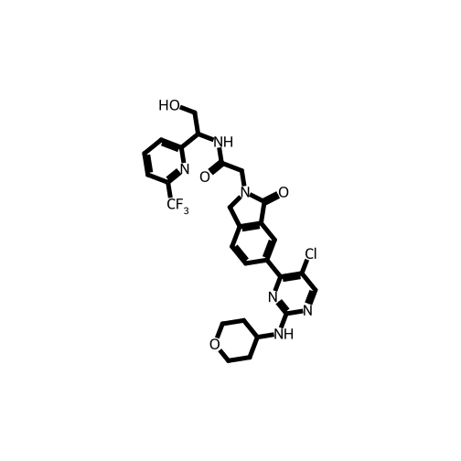 O=C(CN1Cc2ccc(-c3nc(NC4CCOCC4)ncc3Cl)cc2C1=O)NC(CO)c1cccc(C(F)(F)F)n1